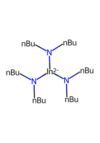 CCCC[N](CCCC)[In-2]([N](CCCC)CCCC)[N](CCCC)CCCC